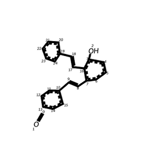 C=O.Oc1cccc(C=Cc2ccccc2)c1C=Cc1ccccc1